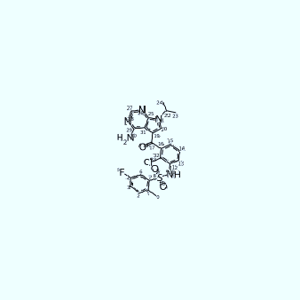 Cc1ccc(F)cc1S(=O)(=O)Nc1cccc(C(=O)c2cn(C(C)C)c3ncnc(N)c23)c1Cl